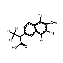 [2H]c1c(OC)c([2H])c2ccc(C(C(=O)O)C([2H])([2H])[2H])cc2c1[2H]